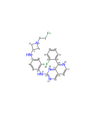 FCCN1CC(Nc2ccc(Nc3ncc4ccnc(-c5ccccc5F)c4n3)cc2)C1